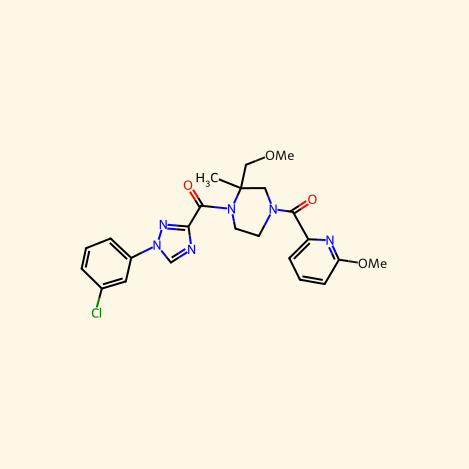 COCC1(C)CN(C(=O)c2cccc(OC)n2)CCN1C(=O)c1ncn(-c2cccc(Cl)c2)n1